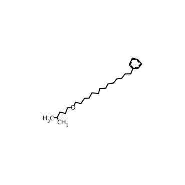 CC(C)CCCOCCCCCCCCCCCCCCc1ccccc1